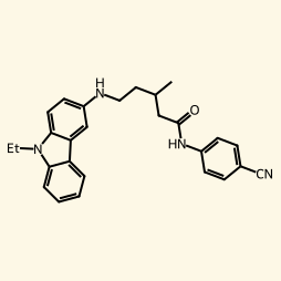 CCn1c2ccccc2c2cc(NCCC(C)CC(=O)Nc3ccc(C#N)cc3)ccc21